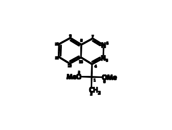 COC(C)(OC)c1nncc2ccccc12